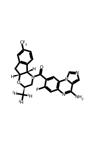 [2H]C([2H])([2H])[C@@H]1CN(C(=O)c2cc3c(cc2F)nc(N)c2cncn23)[C@H]2c3ccc(C(F)(F)F)cc3C[C@H]2O1